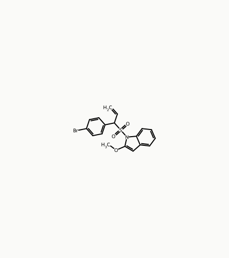 C=CC(c1ccc(Br)cc1)S(=O)(=O)n1c(OC)cc2ccccc21